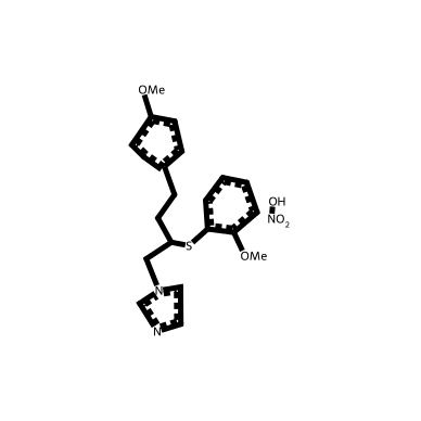 COc1ccc(CCC(Cn2ccnc2)Sc2ccccc2OC)cc1.O=[N+]([O-])O